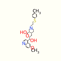 COc1ccc2nccc(C(O)CC[C@@H]3CCN(CCCSc4ccc(C)cc4)C[C@@H]3C(=O)O)c2c1